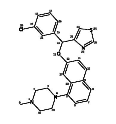 CN1CCN(c2cccc3ccc(OC(c4cccc(Cl)c4)c4cscn4)cc23)CC1